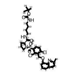 Cc1ccc2cccc(OCc3c(Cl)ccc(S(=O)(=O)N4CCC[C@H]4C(=O)NCCCCNC(=O)OC(C)(C)C)c3Cl)c2n1